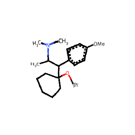 COc1ccc(C(C(C)N(C)C)C2(OC(C)C)CCCCC2)cc1